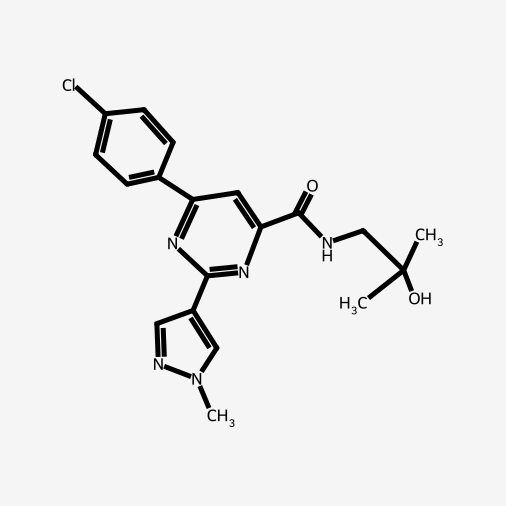 Cn1cc(-c2nc(C(=O)NCC(C)(C)O)cc(-c3ccc(Cl)cc3)n2)cn1